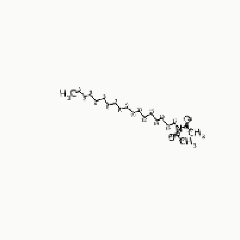 CCCCCCCCCCCCCCCCCCN(C(C)=O)C(C)=O